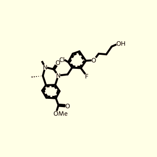 COC(=O)c1ccc2c(c1)N(Cc1c(Cl)ccc(OCCCO)c1F)C(=O)N(C)[C@H]2C